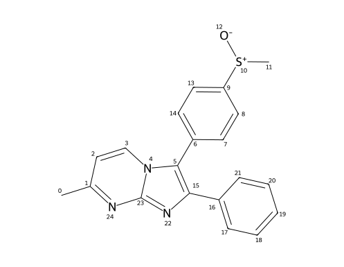 Cc1ccn2c(-c3ccc([S+](C)[O-])cc3)c(-c3ccccc3)nc2n1